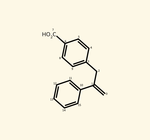 C=C(Cc1ccc(C(=O)O)cc1)c1ccccc1